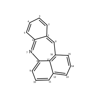 C1=c2ccccc2=Nc2cccc3cccc1c23